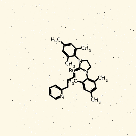 Cc1cc(C)c(N2CCN(c3c(C)cc(C)cc3C)[C]2=[Ru]=[CH]CCc2ccccn2)c(C)c1